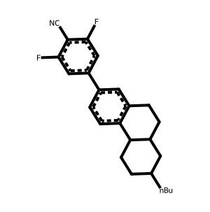 CCCCC1CCC2c3ccc(-c4cc(F)c(C#N)c(F)c4)cc3CCC2C1